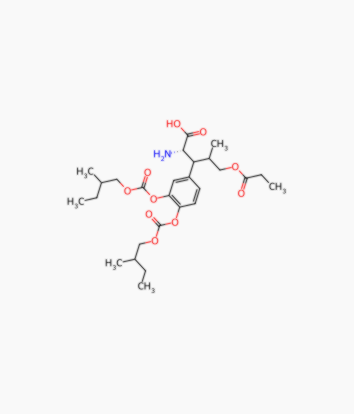 CCC(=O)OCC(C)C(c1ccc(OC(=O)OCC(C)CC)c(OC(=O)OCC(C)CC)c1)[C@H](N)C(=O)O